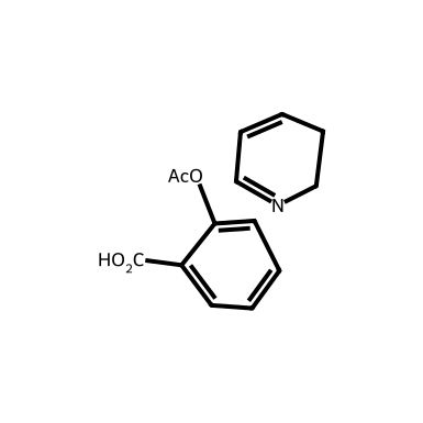 C1=CCCN=C1.CC(=O)Oc1ccccc1C(=O)O